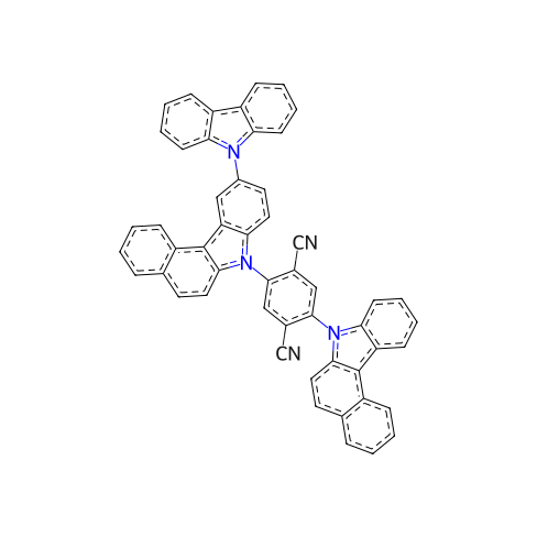 N#Cc1cc(-n2c3ccc(-n4c5ccccc5c5ccccc54)cc3c3c4ccccc4ccc32)c(C#N)cc1-n1c2ccccc2c2c3ccccc3ccc21